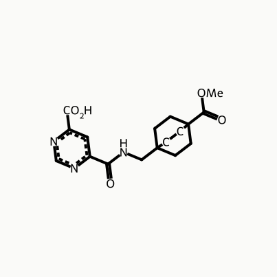 COC(=O)C12CCC(CNC(=O)c3cc(C(=O)O)ncn3)(CC1)CC2